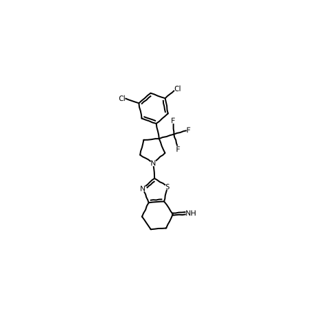 N=C1CCCc2nc(N3CCC(c4cc(Cl)cc(Cl)c4)(C(F)(F)F)C3)sc21